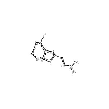 CC(C)(C)[S@+]([O-])N=Cc1cc2c(F)cccc2o1